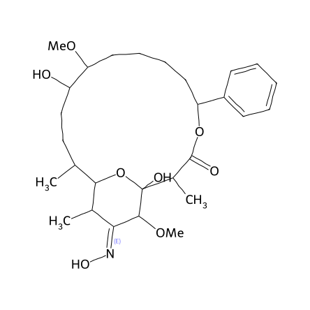 COC1CCCCC(c2ccccc2)OC(=O)C(C)C2(O)OC(C(C)CCC1O)C(C)/C(=N\O)C2OC